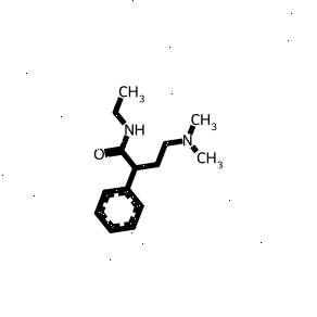 CCNC(=O)C(CCN(C)C)c1ccccc1